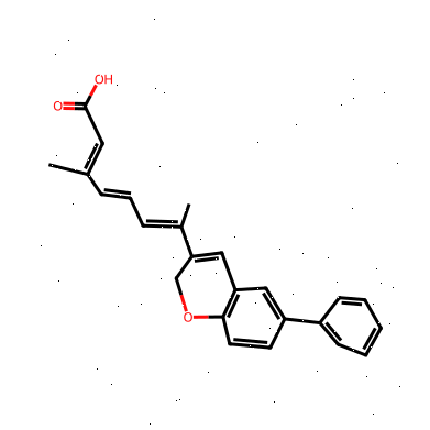 CC(C=CC=C(C)C1=Cc2cc(-c3ccccc3)ccc2OC1)=CC(=O)O